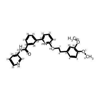 COc1ccc(CCOc2cccc(-c3cccc(C(=O)Nc4cccnc4)c3)n2)cc1OC